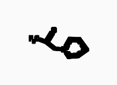 O=C(C[n+]1ccccc1)C(F)(F)F